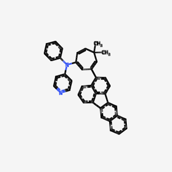 CC1(C)C=CC(N(c2ccccc2)c2ccncc2)=CC(c2ccc3c4c(cccc24)-c2cc4ccccc4cc2-3)=C1